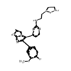 COc1cc(-c2nc3occn3c2-c2ccnc(NCCN3CCNS3)n2)ccc1Cl